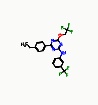 CCc1ccc(-c2nc(Nc3cccc(C(F)(F)F)c3)nc(OCC(F)(F)F)n2)cc1